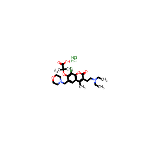 CCN(CC)CCc1c(C)c2cc(CN3CCOCC3)c(OC(C)(C)C(=O)O)c(Cl)c2oc1=O.Cl.Cl